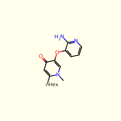 CCCCCCc1cc(=O)c(Oc2cccnc2N)cn1C